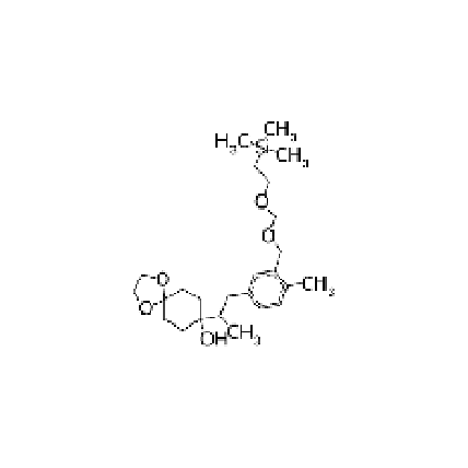 Cc1ccc(CC(C)C2(O)CCC3(CC2)OCCO3)cc1COCOCC[Si](C)(C)C